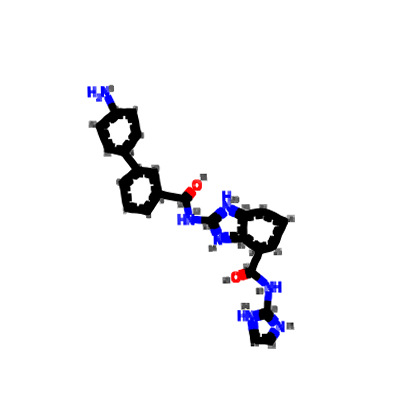 Nc1ccc(-c2cccc(C(=O)Nc3nc4c(C(=O)Nc5ncc[nH]5)cccc4[nH]3)c2)cc1